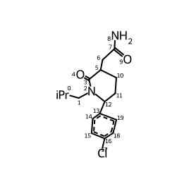 CC(C)CN1C(=O)C(CC(N)=O)CCC1c1ccc(Cl)cc1